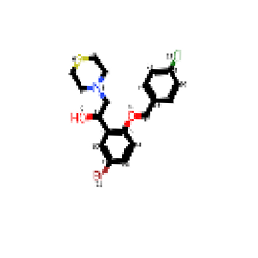 OC(CN1CCSCC1)c1cc(Br)ccc1OCc1ccc(Cl)cc1